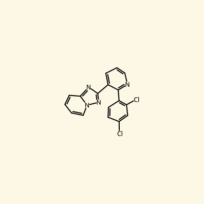 Clc1ccc(-c2ncccc2-c2nc3ccccn3n2)c(Cl)c1